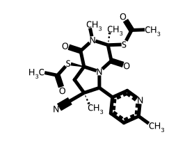 CC(=O)S[C@@]1(C)C(=O)N2C(c3ccc(C)nc3)[C@@](C)(C#N)C[C@]2(SC(C)=O)C(=O)N1C